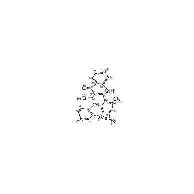 COc1cc(F)ccc1Oc1cc(C(C)(C)C)cc(C)c1-c1[nH]c2ccccc2c(=O)c1CO